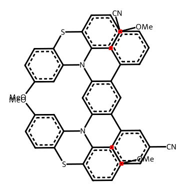 COc1ccc2c(c1)N(c1cc(N3c4cc(OC)ccc4Sc4ccc(OC)cc43)c(-c3cccc(C#N)c3)cc1-c1cccc(C#N)c1)c1cc(OC)ccc1S2